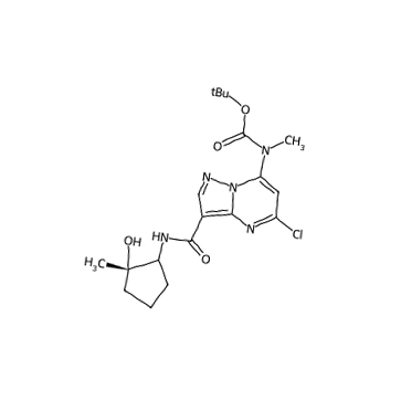 CN(C(=O)OC(C)(C)C)c1cc(Cl)nc2c(C(=O)NC3CCC[C@]3(C)O)cnn12